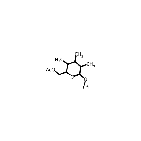 CCCOC1OC(COC(C)=O)C(C)C(C)C1C